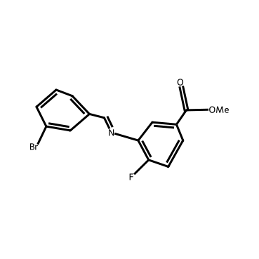 COC(=O)c1ccc(F)c(N=Cc2cccc(Br)c2)c1